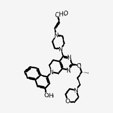 C[C@H](CCN1CCOCC1)Oc1nc2c(c(N3CCN(C=CC=O)CC3)n1)CCN(c1cc(O)cc3ccccc13)C2